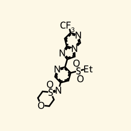 CCS(=O)(=O)c1cc(N=S2(=O)CCOCC2)cnc1-c1cn2cnc(C(F)(F)F)cc2n1